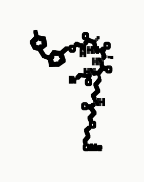 COCCCOCCC(=O)NCCCC[C@H](NC(=O)CBr)C(=O)N[C@@H](C)C(=O)N[C@@H](C)C(=O)NCOCc1cccc(Cc2ccc(C)cc2)c1